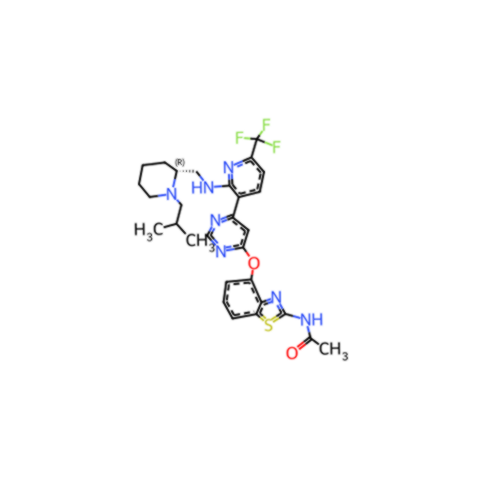 CC(=O)Nc1nc2c(Oc3cc(-c4ccc(C(F)(F)F)nc4NC[C@H]4CCCCN4CC(C)C)ncn3)cccc2s1